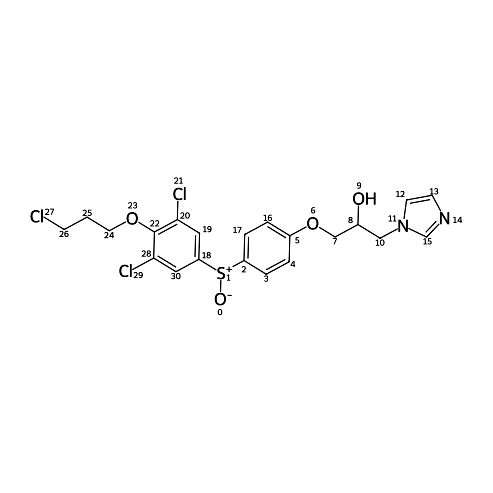 [O-][S+](c1ccc(OCC(O)Cn2ccnc2)cc1)c1cc(Cl)c(OCCCCl)c(Cl)c1